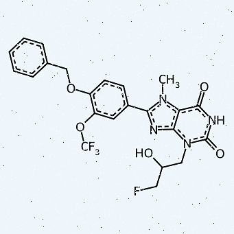 Cn1c(-c2ccc(OCc3ccccc3)c(OC(F)(F)F)c2)nc2c1c(=O)[nH]c(=O)n2CC(O)CF